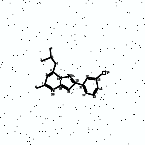 Cc1cc(CC(C)C)n2nc(-c3cccc(Cl)c3)cc2n1